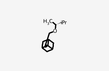 CC(C)[C@@H](C)OCC1=C2C3CC(C1)CC2C3